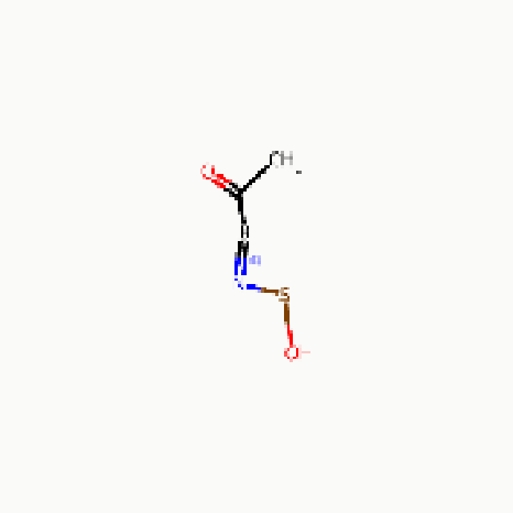 CC(=O)/B=N/SO